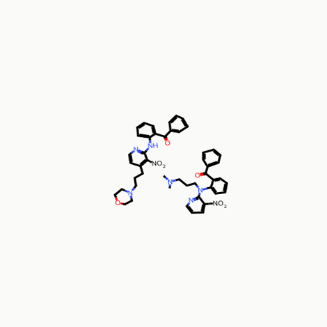 CN(C)CCCN(c1ccccc1C(=O)c1ccccc1)c1ncccc1[N+](=O)[O-].O=C(c1ccccc1)c1ccccc1Nc1nccc(CCCN2CCOCC2)c1[N+](=O)[O-]